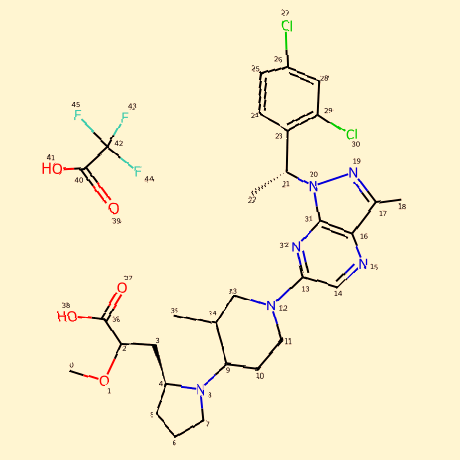 COC(C[C@@H]1CCCN1C1CCN(c2cnc3c(C)nn([C@H](C)c4ccc(Cl)cc4Cl)c3n2)CC1C)C(=O)O.O=C(O)C(F)(F)F